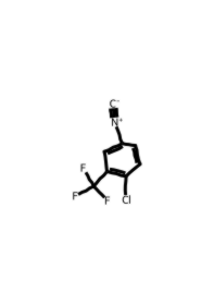 [C-]#[N+]c1ccc(Cl)c(C(F)(F)F)c1